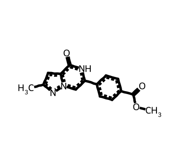 COC(=O)c1ccc(-c2cn3nc(C)cc3c(=O)[nH]2)cc1